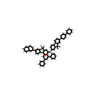 CC1(C)c2cc(-c3ccc(-c4ccccc4)cc3)ccc2-c2ccc(N(c3ccc4c(c3)C(C)(C)c3cc(-c5ccc6ccccc6c5)ccc3-4)c3ccccc3-c3cccc(-c4ccccc4)c3)cc21